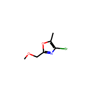 COCc1nc(Br)c(C)o1